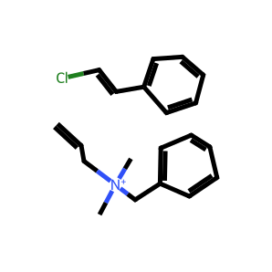 C=CC[N+](C)(C)Cc1ccccc1.ClC=Cc1ccccc1